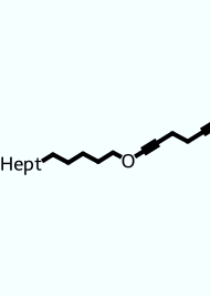 C#CCCC#COCCCCCCCCCCCC